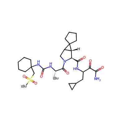 CC(C)(C)[C@H](NC(=O)NC1(CS(=O)(=O)C(C)(C)C)CCCCC1)C(=O)N1CC2[C@@H]([C@H]1C(=O)NC(CC1CC1)C(=O)C(N)=O)C21CCCC1